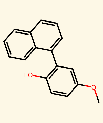 COc1ccc(O)c(-c2cccc3ccccc23)c1